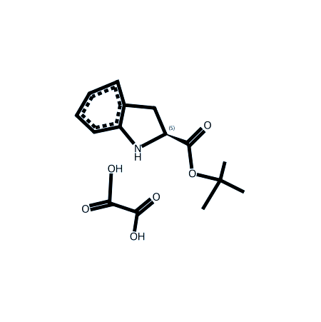 CC(C)(C)OC(=O)[C@@H]1Cc2ccccc2N1.O=C(O)C(=O)O